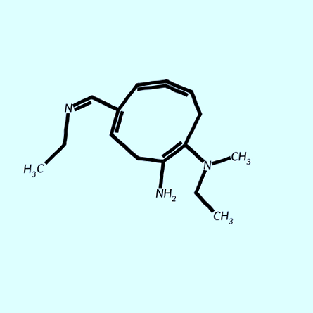 CC/N=C\C1=C\C/C(N)=C(/N(C)CC)CC=C=C1